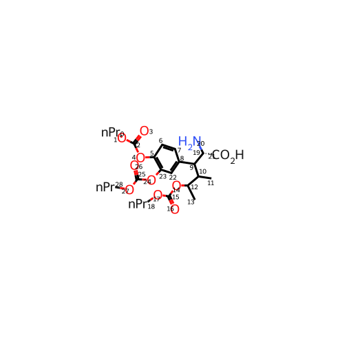 CCCOC(=O)Oc1ccc(C(C(C)C(C)OC(=O)OCCC)[C@H](N)C(=O)O)cc1OC(=O)OCCC